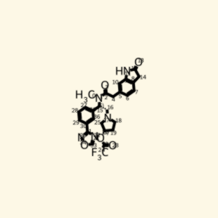 CN(C(=O)Cc1ccc2c(c1)NC(=O)C2)[C@H](CN1CC[C@H](OC(=O)C(F)(F)F)C1)c1cccc(-c2ncon2)c1